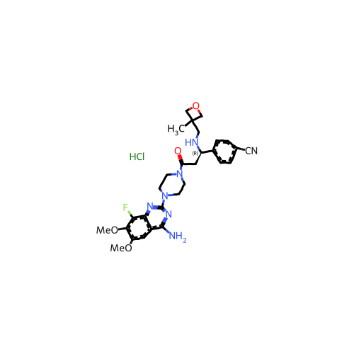 COc1cc2c(N)nc(N3CCN(C(=O)C[C@@H](NCC4(C)COC4)c4ccc(C#N)cc4)CC3)nc2c(F)c1OC.Cl